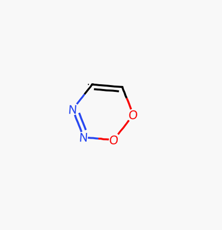 [C]1=COON=N1